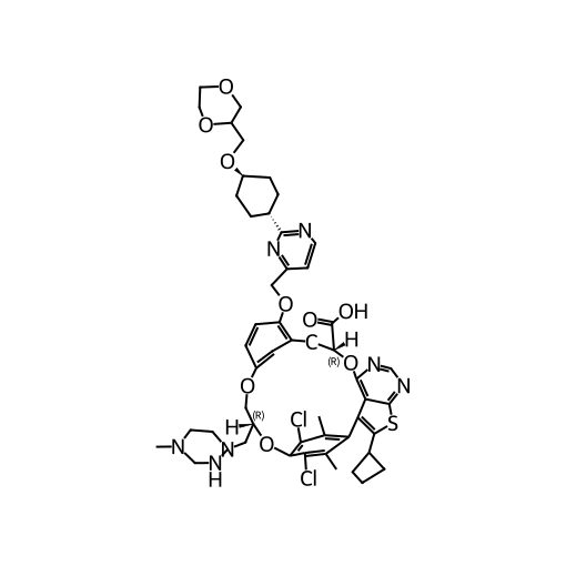 Cc1c(Cl)c2c(Cl)c(C)c1-c1c(C3CCC3)sc3ncnc(c13)O[C@@H](C(=O)O)Cc1cc(ccc1OCc1ccnc([C@H]3CC[C@H](OCC4COCCO4)CC3)n1)OC[C@@H](CN1CCN(C)CN1)O2